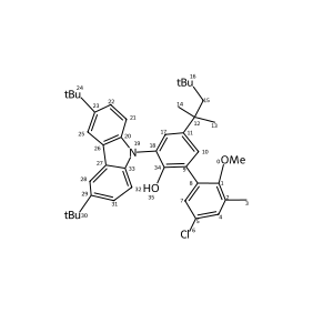 COc1c(C)cc(Cl)cc1-c1cc(C(C)(C)CC(C)(C)C)cc(-n2c3ccc(C(C)(C)C)cc3c3cc(C(C)(C)C)ccc32)c1O